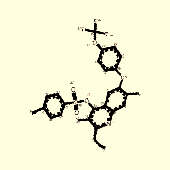 CCc1nc2cc(C)c(Oc3ccc(OC(F)(F)F)cc3)cc2c(OS(=O)(=O)c2ccc(C)cc2)c1C